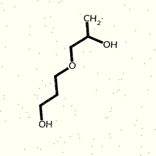 [CH2]C(O)COCCCO